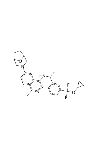 Cc1nnc(N[C@H](C)c2cccc(C(F)(F)OC3CC3)c2)c2cc(N3CC4CCC(C3)O4)cnc12